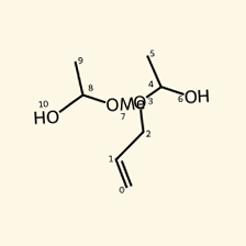 C=CCOC(C)O.COC(C)O